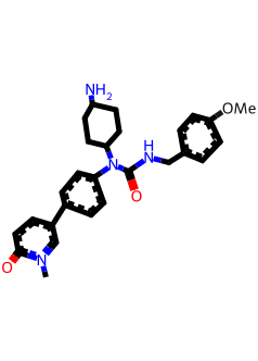 COc1ccc(CNC(=O)N(c2ccc(-c3ccc(=O)n(C)c3)cc2)C2CCC(N)CC2)cc1